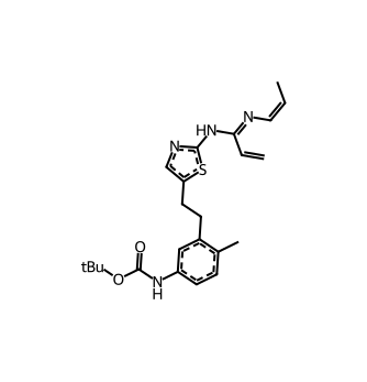 C=C/C(=N\C=C/C)Nc1ncc(CCc2cc(NC(=O)OC(C)(C)C)ccc2C)s1